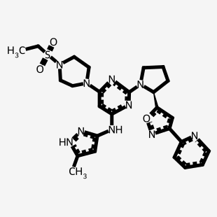 CCS(=O)(=O)N1CCN(c2cc(Nc3cc(C)[nH]n3)nc(N3CCC[C@H]3c3cc(-c4ccccn4)no3)n2)CC1